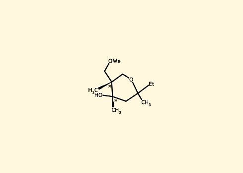 CCC1(C)C[C@](C)(O)[C@](C)(COC)CO1